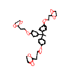 CC(c1ccc(OCCC2OCCO2)cc1)(c1ccc(OCCC2OCCO2)cc1)c1ccc(OCCC2OCCO2)cc1